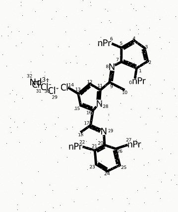 CCCc1cccc(CCC)c1N=C(C)c1cc(Cl)cc(C(C)=Nc2c(CCC)cccc2CCC)n1.[Cl-].[Cl-].[Cl-].[Nd+3]